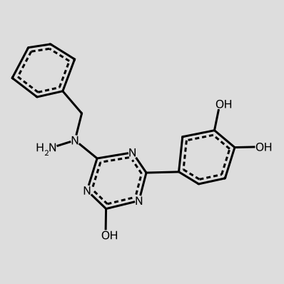 NN(Cc1ccccc1)c1nc(O)nc(-c2ccc(O)c(O)c2)n1